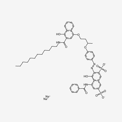 CCCCCCCCCCCCNC(=O)c1cc(OCCC(C)Oc2ccc(N=Nc3c(S(=O)(=O)[O-])cc4cc(S(=O)(=O)[O-])cc(NC(=O)c5ccccc5)c4c3O)cc2)c2ccccc2c1O.[Na+].[Na+]